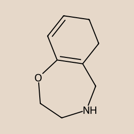 C1=CC2=C(CC1)CNCCO2